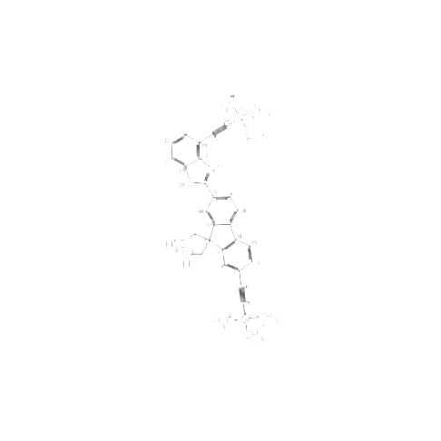 CCC1(CC)c2cc(C#C[Si](C)(C)C)ccc2-c2ccc(-c3nc4c(C#C[Si](C)(C)C)cccc4s3)cc21